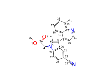 COC(=O)Cn1c(C)c(-c2ccnc3c(C)cccc23)c2cc(C#N)ccc21